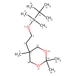 CC1(CCO[Si](C)(C)C(C)(C)C)COC(C)(C)OC1